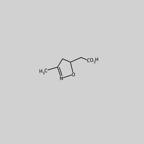 CC1=NOC(CC(=O)O)C1